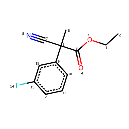 CCOC(=O)C(C)(C#N)c1cccc(F)c1